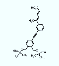 C/C(=C\C=C\C(=O)O)c1cccc(C#Cc2ccc(CO[Si](C)(C)C(C)(C)C)c(CO[Si](C)(C)C(C)(C)C)c2)c1